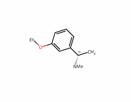 CCOc1cccc([C@H](C)NC)c1